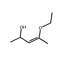 CCO/C(C)=C\C(C)O